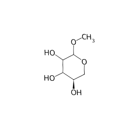 COC1OC[C@@H](O)C(O)C1O